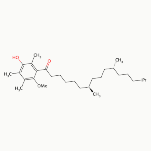 COc1c(C)c(C)c(O)c(C)c1C(=O)CCCCC[C@H](C)CCC[C@H](C)CCCC(C)C